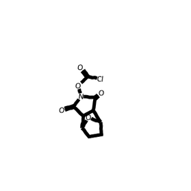 O=C(Cl)ON1C(=O)C2C3CCC(O3)C2C1=O